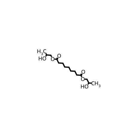 CC(O)COC(=O)CCCCCCCC(=O)OCC(C)O